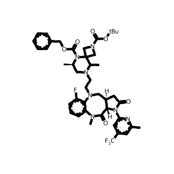 Cc1cc(C(F)(F)F)cc(N2C(=O)C[C@@H]3CN(CCN4C[C@@H](C)N(C(=O)OCc5ccccc5)C5(CN(C(=O)OC(C)(C)C)C5)C4C)c4c(F)cccc4N(C)C(=O)[C@H]32)n1